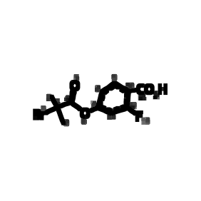 CC(C)(Br)C(=O)Oc1ccc(C(=O)O)c(F)c1